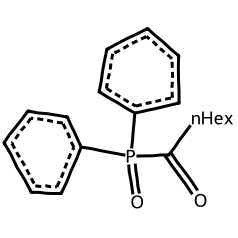 CCCCCCC(=O)P(=O)(c1ccccc1)c1ccccc1